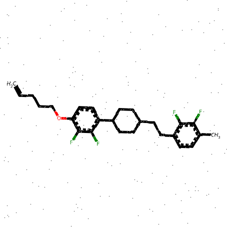 C=CCCCOc1ccc(C2CCC(CCc3ccc(C)c(F)c3F)CC2)c(F)c1F